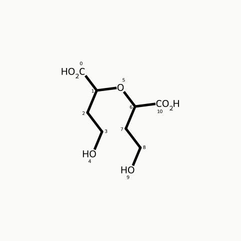 O=C(O)C(CCO)OC(CCO)C(=O)O